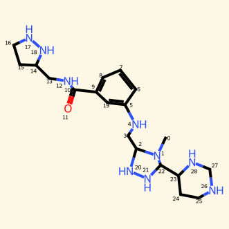 CN1C(CNc2cccc(C(=O)NCC3CCNN3)c2)NNC1C1CCNCN1